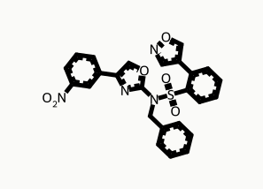 O=[N+]([O-])c1cccc(-c2coc(N(Cc3ccccc3)S(=O)(=O)c3ccccc3-c3cnoc3)n2)c1